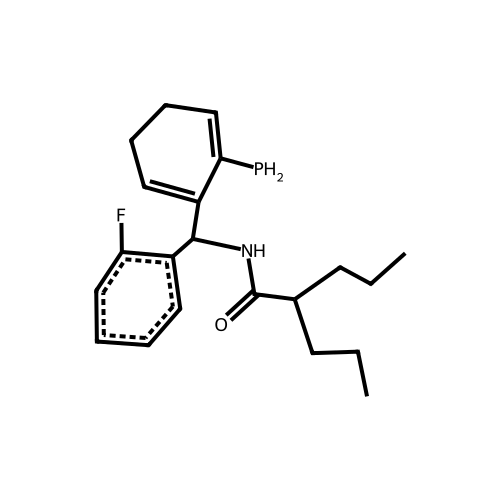 CCCC(CCC)C(=O)NC(C1=CCCC=C1P)c1ccccc1F